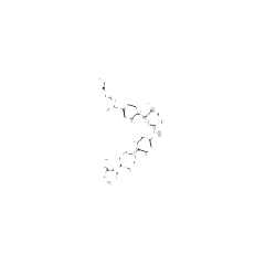 N#CCNC(=O)c1ccc(-c2nc(Nc3ccc(N4CCC(N5CCCC5=O)CC4)cc3)ncc2F)cc1